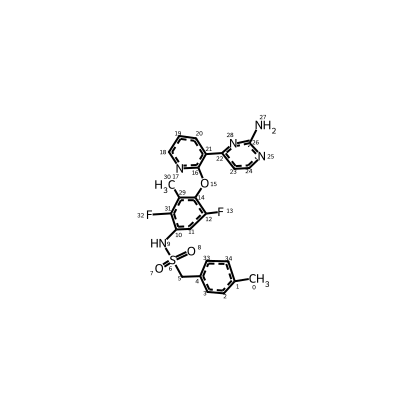 Cc1ccc(CS(=O)(=O)Nc2cc(F)c(Oc3ncccc3-c3ccnc(N)n3)c(C)c2F)cc1